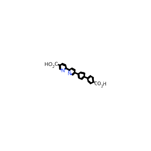 O=C(O)c1ccc(-c2ccc(-c3ccc(-c4ccc(C(=O)O)cn4)nc3)cc2)cc1